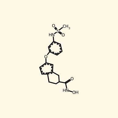 CS(=O)(=O)Nc1cccc(Oc2ccc3c(c2)CC(C(=O)NO)CC3)c1